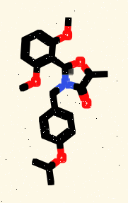 COc1cccc(OC)c1[C@H]1OC(C)C(=O)N1Cc1ccc(OC(C)C)cc1